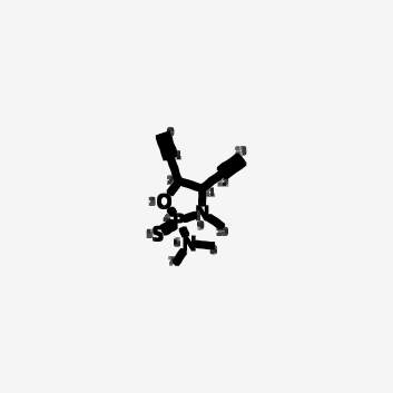 C#CC1OP(=S)(N(C)C)N(C)C1C#C